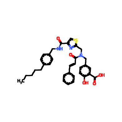 CCCCCc1ccc(CNC(=O)c2csc(CN(Cc3ccc(O)c(C(=O)O)c3)C(=O)/C=C/c3ccccc3)n2)cc1